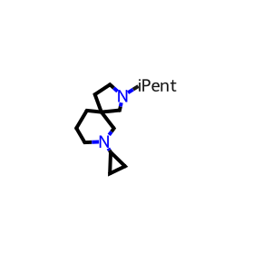 CCCC(C)N1CCC2(CCCN(C3CC3)C2)C1